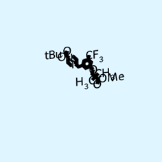 COC(=O)C(C)(C)COc1cc(CN2CCN(C(=O)OC(C)(C)C)CC2)cc(C(F)(F)F)c1